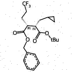 CC(C)(C)OC(=O)[C@@H](CC1CC1)[C@@H](CCC(F)(F)F)C(=O)OCc1ccccc1